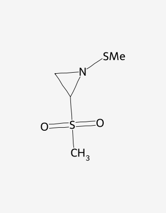 CSN1CC1S(C)(=O)=O